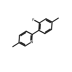 Cc1ccc(-c2ccc(C)cc2F)nc1